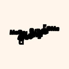 COc1ccc(-c2csc(N[C@H](C(=O)N3CC[C@@H](Oc4ncc(OC)c5ccc(Cl)cc45)C3)C(C)(C)C)n2)cc1F